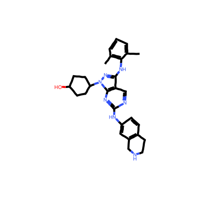 Cc1cccc(C)c1Nc1nn(C2CCC(O)CC2)c2nc(Nc3ccc4c(c3)CNCC4)ncc12